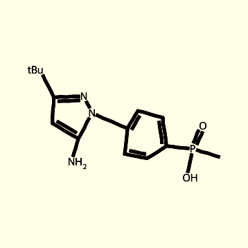 CC(C)(C)c1cc(N)n(-c2ccc(P(C)(=O)O)cc2)n1